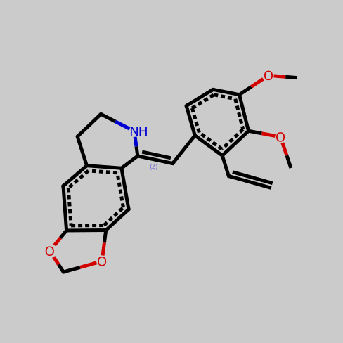 C=Cc1c(/C=C2\NCCc3cc4c(cc32)OCO4)ccc(OC)c1OC